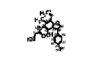 C=Cc1c(C)c(NC(=O)CC(C)(C)C)c(C)c2c1OCC2c1ccc(C(C)C)cc1